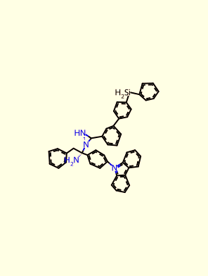 N[C@@](Cc1ccccc1)(c1ccc(-n2c3ccccc3c3ccccc32)cc1)[N@]1NC1c1cccc(-c2ccc([SiH2]c3ccccc3)cc2)c1